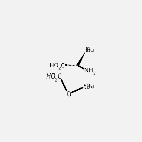 CC(C)(C)OC(=O)O.CC[C@H](C)[C@H](N)C(=O)O